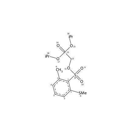 CSc1cccc(C)c1S(=O)(=O)OCP(=O)(OC(C)C)OC(C)C